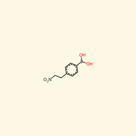 O=[N+]([O-])CCc1ccc(B(O)O)cc1